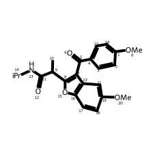 COc1ccc(C(=O)c2c(C(C)C(=O)NC(C)C)oc3ccc(OC)cc23)cc1